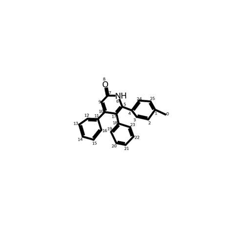 Cc1ccc(-c2[nH]c(=O)cc(-c3ccccc3)c2-c2ccccc2)cc1